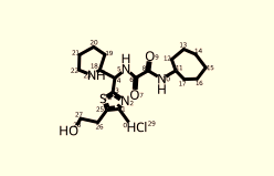 Cc1nc(C(NC(=O)C(=O)NC2CCCCCC2)C2CCCCN2)sc1CCO.Cl